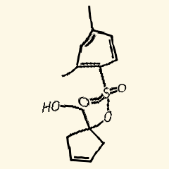 Cc1ccc(S(=O)(=O)OC2(CO)CC=CC2)c(C)c1